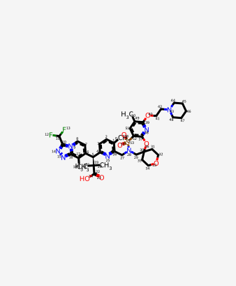 Cc1ccc([C@H](c2ccn3c(C(F)F)nnc3c2C)C(C)(C)C(=O)O)nc1CN1CC2(CCOCC2)Oc2nc(OCCN3CCCCC3)c(C)cc2S1(=O)=O